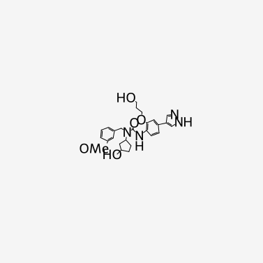 COc1cccc(CN(C(=O)Nc2ccc(-c3cn[nH]c3)cc2OCCCO)C2CCC(O)C2)c1